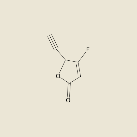 C#CC1OC(=O)C=C1F